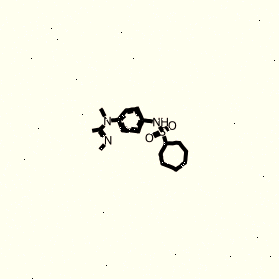 CN=C(C)N(C)c1ccc(NS(=O)(=O)C2CCCCCC2)cc1